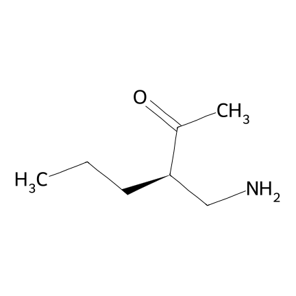 CCC[C@H](CN)C(C)=O